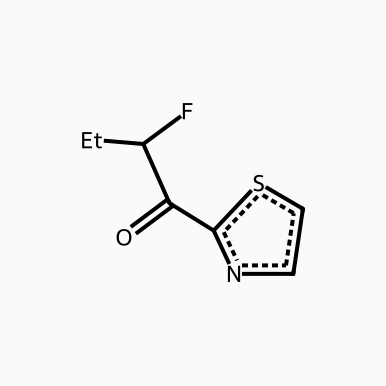 CCC(F)C(=O)c1nccs1